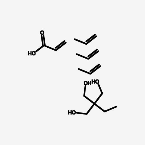 C=CC.C=CC.C=CC.C=CC(=O)O.CCC(CO)(CO)CO